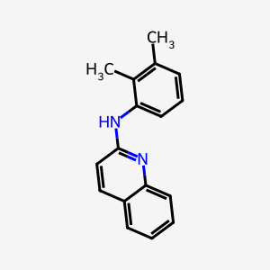 Cc1cccc(Nc2ccc3ccccc3n2)c1C